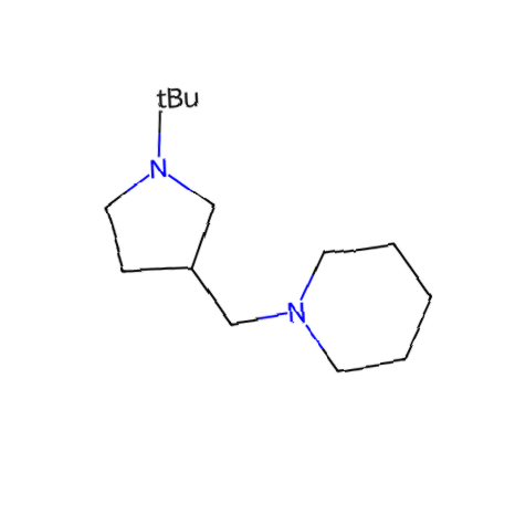 CC(C)(C)N1CCC(CN2CCCCC2)C1